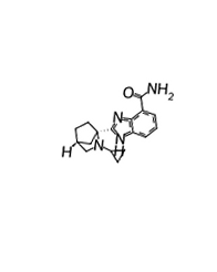 NC(=O)c1cccc2[nH]c([C@]34CC[C@@H](CN3C3CC3)C4)nc12